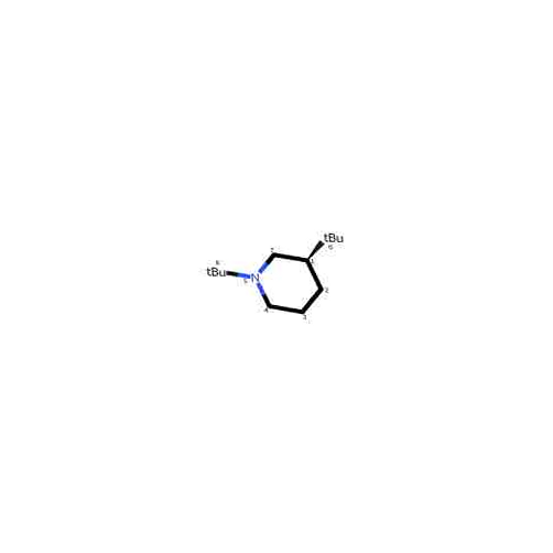 CC(C)(C)[C@H]1CCCN(C(C)(C)C)C1